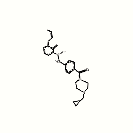 C=c1c([S+]([O-])Nc2ccc(C(=O)N3CCN(CC4CC4)CC3)cc2)ccc/c1=C/C=C\C